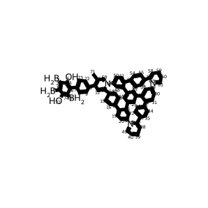 Bc1c(B)c(O)c(-c2ccc(-c3cc(-c4ccc(-c5ccccc5-c5cc(-c6ccccc6-c6ccc(-c7ccccn7)cc6)cc(-c6ccccc6-c6ccc(-c7ccccn7)cc6)c5)cc4)ncc3C)cc2)c(B)c1O